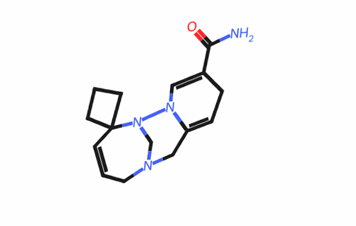 NC(=O)C1=CN2C(=CC1)CN1CC=CC3(CCC3)N2C1